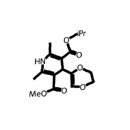 COC(=O)C1=C(C)NC(C)=C(C(=O)OC(C)C)C1C1=COCCO1